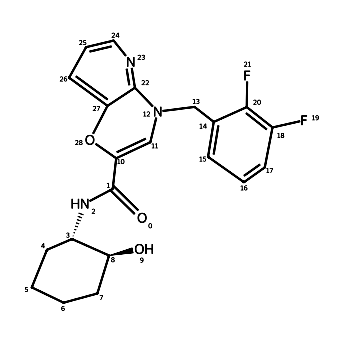 O=C(N[C@H]1CCCC[C@@H]1O)C1=CN(Cc2cccc(F)c2F)c2ncccc2O1